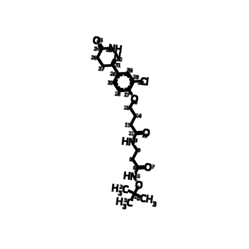 CC(C)(C)ONC(=O)CCNC(=O)CCCOc1ccc(C2=NNC(=O)CC2)cc1Cl